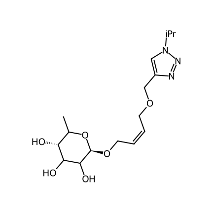 CC1O[C@@H](OC/C=C\COCc2cn(C(C)C)nn2)C(O)C(O)[C@@H]1O